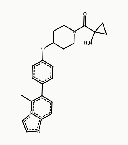 Cc1c(-c2ccc(OC3CCN(C(=O)C4(N)CC4)CC3)cc2)ccc2nccn12